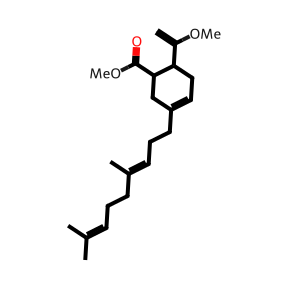 C=C(OC)C1CC=C(CC/C=C(\C)CCC=C(C)C)CC1C(=O)OC